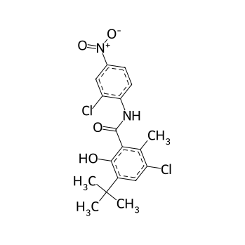 Cc1c(Cl)cc(C(C)(C)C)c(O)c1C(=O)Nc1ccc([N+](=O)[O-])cc1Cl